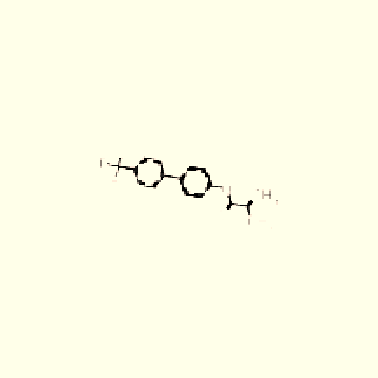 C=C(C)C(=O)Oc1ccc(-c2ccc(C(F)(F)F)cc2)cc1